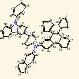 c1ccc(-c2c(-c3ccccc3)c3cc(N(c4ccc(-c5ccc6c(c5)c5ccccc5n6-c5ccccc5)cc4)c4ccc5ccccc5c4)ccc3c3ccccc23)cc1